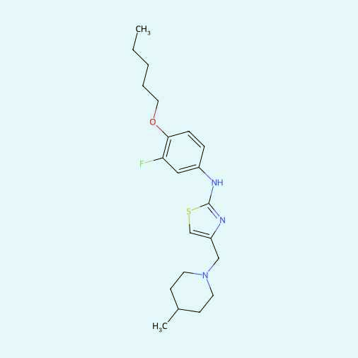 CCCCCOc1ccc(Nc2nc(CN3CCC(C)CC3)cs2)cc1F